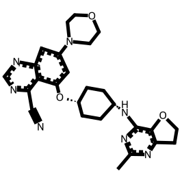 Cc1nc2c(c(N[C@H]3CC[C@@H](Oc4cc(N5CCOCC5)cc5ncnc(C#N)c45)CC3)n1)OCC2